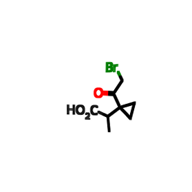 CC(C(=O)O)C1(C(=O)CBr)CC1